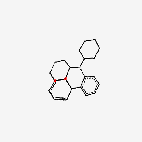 [C]1=CC=CCC1c1ccccc1P(C1CCCCC1)C1CCCCC1